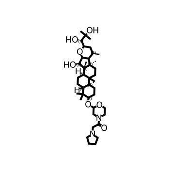 C[C@@H]1CC([C@H](O)C(C)(C)O)OC2C1[C@@]1(C)CCC34C[C@@]35CC[C@H](OC3CN(C(=O)CN6CCCC6)CCO3)C(C)(C)[C@@H]5CC[C@H]4[C@]1(C)[C@H]2O